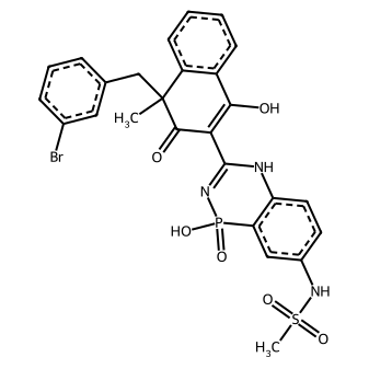 CC1(Cc2cccc(Br)c2)C(=O)C(C2=NP(=O)(O)c3cc(NS(C)(=O)=O)ccc3N2)=C(O)c2ccccc21